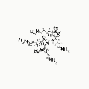 NCCCC[C@H](NC(=O)[C@@H](N)CCCCN)C(=O)[O-].NCCCC[C@H](NC(=O)[C@@H](N)CCCCN)C(=O)[O-].[Cu+2]